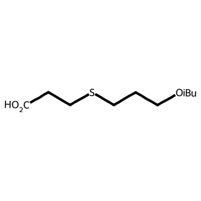 CC(C)COCCCSCCC(=O)O